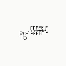 CCC(C)(C)C(=O)OCCC(F)(F)C(F)(F)C(F)(F)C(F)(F)C(F)(F)C(F)F